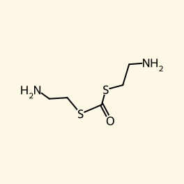 NCCSC(=O)SCCN